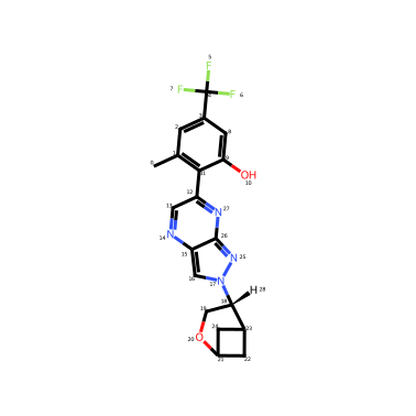 Cc1cc(C(F)(F)F)cc(O)c1-c1cnc2cn([C@H]3COC4CC3C4)nc2n1